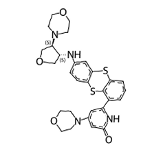 O=c1cc(N2CCOCC2)cc(-c2cccc3c2Sc2ccc(N[C@@H]4COC[C@H]4N4CCOCC4)cc2S3)[nH]1